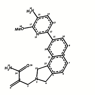 C=C(CN1Cc2ccc3ccc(-c4ccc(N)c(OC)n4)cc3c2C1)C(N)=O